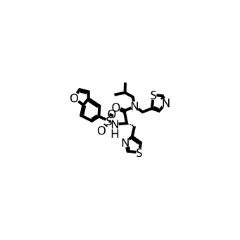 CC(C)CN(Cc1cncs1)C(=O)[C@H](Cc1cscn1)NS(=O)(=O)c1ccc2occc2c1